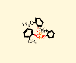 Cc1ccccc1O[PH](C)(Oc1ccccc1C)Oc1ccccc1C